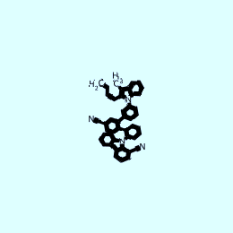 C=C/C=C\c1c(C)c2ccccc2n1-c1cccc(-c2cc(C#N)ccc2-c2ccccc2-n2c3ccccc3c3cccc(C#N)c32)c1